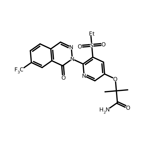 CCS(=O)(=O)c1cc(OC(C)(C)C(N)=O)cnc1-n1ncc2ccc(C(F)(F)F)cc2c1=O